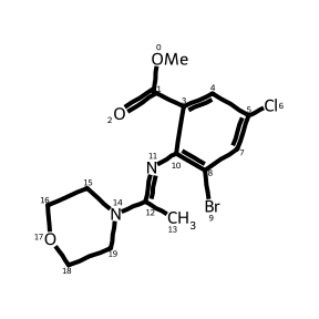 COC(=O)c1cc(Cl)cc(Br)c1N=C(C)N1CCOCC1